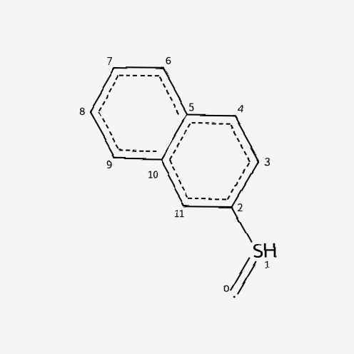 [CH]=[SH]c1ccc2ccccc2c1